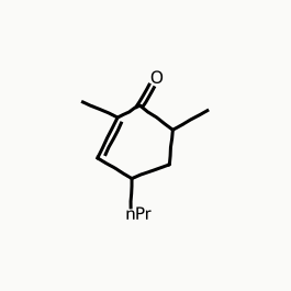 CCCC1C=C(C)C(=O)C(C)C1